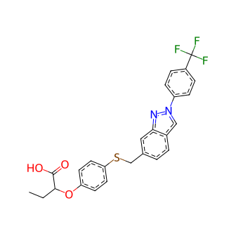 CCC(Oc1ccc(SCc2ccc3cn(-c4ccc(C(F)(F)F)cc4)nc3c2)cc1)C(=O)O